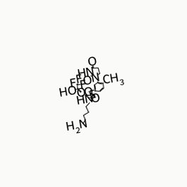 Cc1ccc(S(=O)(=O)NCCCCCN)cc1N1CCC(=O)NC1=O.O=C(O)C(F)(F)F